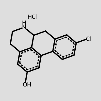 Cl.Oc1cc2c3c(c1)-c1ccc(Cl)cc1CC3NCC2